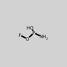 NP(O)OF